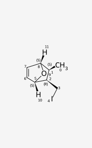 C[C@H]1[C@@H](CI)[C@@H]2C=C[C@H]1O2